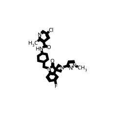 Cc1ncc(Cl)cc1C(=O)NC1CCC(CN2C(=O)C3(CN(c4ccn(C)n4)C3)c3cc(F)ccc32)CC1